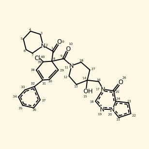 O=C(N1CCCCC1)C1(C(=O)N2CCC(O)(Cn3cnn4cccc4c3=O)CC2)C=CC(c2ccccc2)=CC1Cl